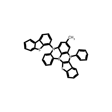 Cc1cc2c3c(c1)N(c1cccc4c1sc1ccccc14)c1ccccc1B3c1sc3ccccc3c1N2c1ccccc1